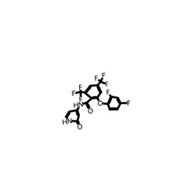 O=C(Nc1cc[nH]c(=O)c1)c1c(Oc2ccc(F)cc2F)cc(C(F)(F)F)cc1C(F)(F)F